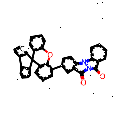 O=c1c2ccccc2n2c3ccc(-c4cccc5c4Oc4ccccc4C54c5ccccc5-c5ccccc54)cc3c(=O)n12